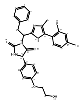 Cc1nc(C(Cc2ccccc2)N2C(=O)N[C@H](c3ccc(OCCO)cc3)C2=O)[nH]c1-c1ccc(I)cc1F